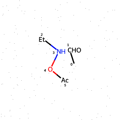 CC=O.CCNOC(C)=O